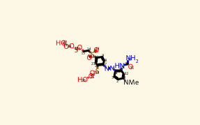 CNc1ccc(/N=N/c2ccc(S(=O)(=O)CCOSOOO)cc2SOOO)c(NC(N)=O)c1